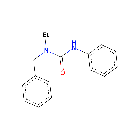 [CH2]CN(Cc1ccccc1)C(=O)Nc1ccccc1